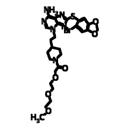 COCCOCCOCC(=O)N1CCC(CCn2cnc(N)c3nc(Sc4cc5c(cc4Br)OCO5)nc2-3)CC1